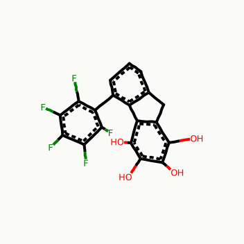 Oc1c(O)c(O)c2c(c1O)Cc1cccc(-c3c(F)c(F)c(F)c(F)c3F)c1-2